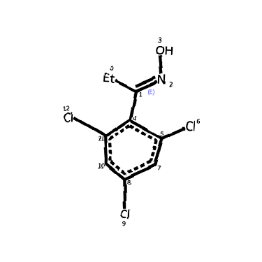 CC/C(=N\O)c1c(Cl)cc(Cl)cc1Cl